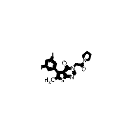 Cc1sc2ncn(CC(=O)N3CCCC3)c(=O)c2c1-c1cc(I)cc(I)c1